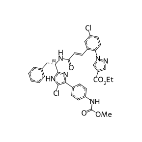 CCOC(=O)c1cnn(-c2ccc(Cl)cc2C=CC(=O)N[C@@H](Cc2ccccc2)c2nc(-c3ccc(NC(=O)OC)cc3)c(Cl)[nH]2)c1